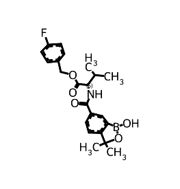 CC(C)[C@H](NC(=O)c1ccc2c(c1)B(O)OC2(C)C)C(=O)OCc1ccc(F)cc1